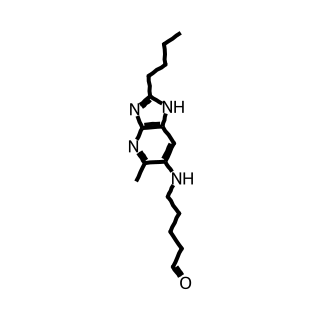 CCCCc1nc2nc(C)c(NCCCCC=O)cc2[nH]1